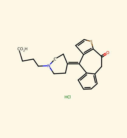 Cl.O=C(O)CCCN1CCC(=C2c3ccccc3CC(=O)c3sccc32)CC1